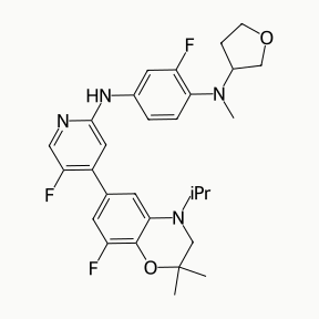 CC(C)N1CC(C)(C)Oc2c(F)cc(-c3cc(Nc4ccc(N(C)C5CCOC5)c(F)c4)ncc3F)cc21